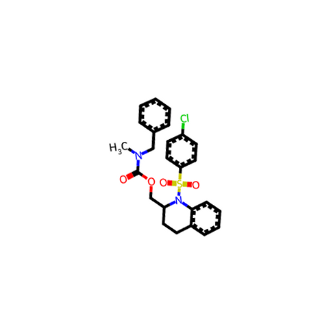 CN(Cc1ccccc1)C(=O)OCC1CCc2ccccc2N1S(=O)(=O)c1ccc(Cl)cc1